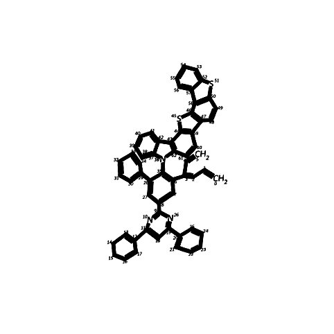 C=C/C=C(\C=C)c1cc(-c2nc(C3=CCCC=C3)cc(-c3ccccc3)n2)cc(-c2ccccc2)c1-n1c2ccccc2c2c3sc4c(ccc5sc6ccccc6c54)c3ccc21